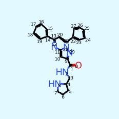 O=C(NCC1CCCN1)c1cc2nc(-c3ccccc3)cc(-c3ccccc3)n2n1